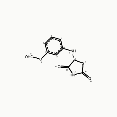 O=COc1cccc(N[C@@H]2SC(=O)NC2=O)c1